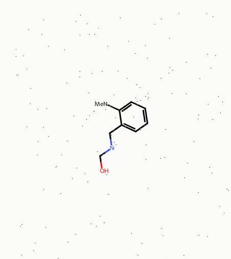 CNc1ccccc1C[N]CO